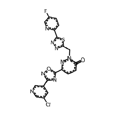 O=c1ccc(-c2nc(-c3cncc(Cl)c3)no2)nn1Cc1nnc(-c2ccc(F)cn2)s1